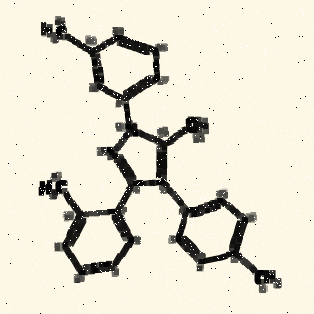 Cc1ccc(-c2c(-c3ccccc3C)nn(-c3cccc(C)c3)c2O)cc1